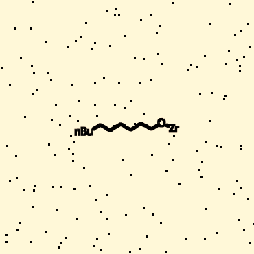 CCCCCCCCCC[O][Zr]